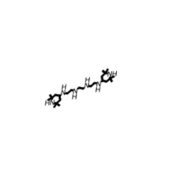 CC1(C)CC(NCCNCCNCCNC2CC(C)(C)NC(C)(C)C2)CC(C)(C)N1